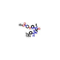 [2H]C([2H])([2H])c1cccc(Nc2ncc3c(=O)n(CC=C)n(-c4cccc(OC5CCN(C(=O)OC(C)(C)C)CC5)n4)c3n2)c1